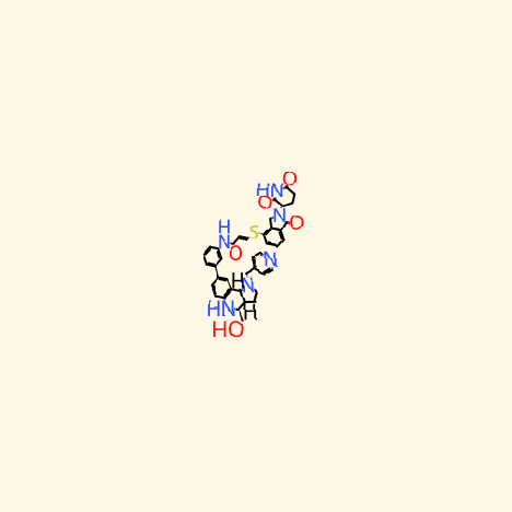 O=C(C=CSc1cccc2c1CN(C1CCC(=O)NC1=O)C2=O)Nc1cccc(-c2ccc3c(c2)[C@H]2[C@H](CCN2Cc2ccncc2)[C@@H](CO)N3)c1